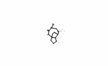 C=C[C@]1(C)C[C@@H](O)[C@@]2(C)C3[C@H](OC)CCC3(CC[C@H]2C)[C@@H](C)C1=O